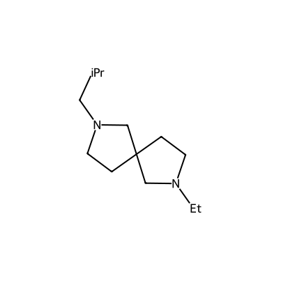 CCN1CCC2(CCN(CC(C)C)C2)C1